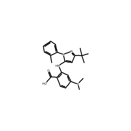 Cc1ccccc1-n1nc(C(C)(C)C)cc1Nc1cc(N(C)C)ccc1C(=O)O